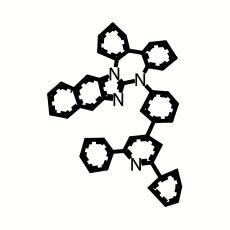 c1ccc(-c2cc(-c3cccc(N4c5ccccc5-c5ccccc5-n5c4nc4cc6ccccc6cc45)c3)cc(-c3ccccc3)n2)cc1